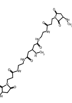 CNC(CC(=O)NCCNC(=O)CCN1C(=O)CC(NC)C1=O)CC(=O)NCCNC(=O)CCN1C(=O)CC(NC)C1=O